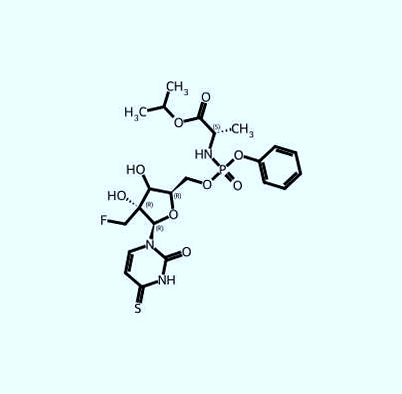 CC(C)OC(=O)[C@H](C)NP(=O)(OC[C@H]1O[C@@H](n2ccc(=S)[nH]c2=O)[C@@](O)(CF)C1O)Oc1ccccc1